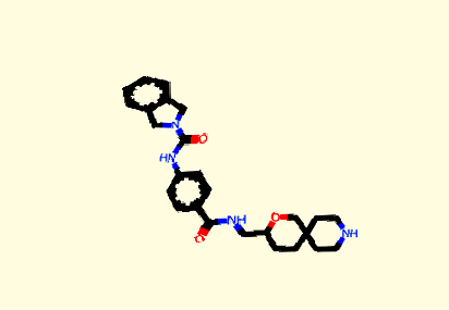 O=C(NCC1CCC2(CCNCC2)CO1)c1ccc(NC(=O)N2Cc3ccccc3C2)cc1